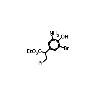 CCOC(=O)C(CC(C)C)c1cc(N)c(O)c(Br)c1